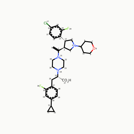 C=C([C@@H]1CN(C2CCOCC2)C[C@H]1c1ccc(Cl)cc1F)N1CCN([C@@H](Cc2ccc(C3CC3)cc2F)C(=O)O)CC1